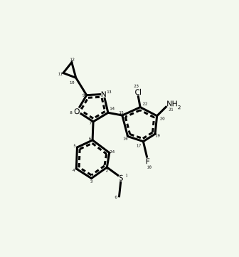 CSc1cccc(-c2oc(C3CC3)nc2-c2cc(F)cc(N)c2Cl)c1